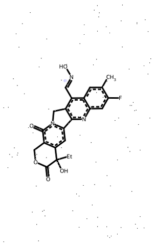 CCC1(O)C(=O)OCc2c1cc1n(c2=O)Cc2c-1nc1cc(F)c(C)cc1c2/C=N/O